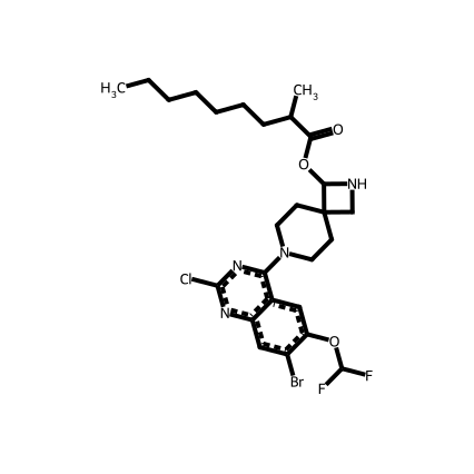 CCCCCCCC(C)C(=O)OC1NCC12CCN(c1nc(Cl)nc3cc(Br)c(OC(F)F)cc13)CC2